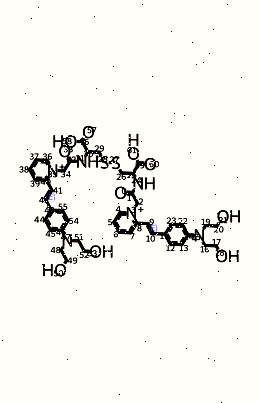 O=C(C[n+]1ccccc1/C=C/c1ccc(N(CCO)CCO)cc1)NC(CSSCC(NC(=O)C[n+]1ccccc1/C=C/c1ccc(N(CCO)CCO)cc1)C(=O)O)C(=O)O